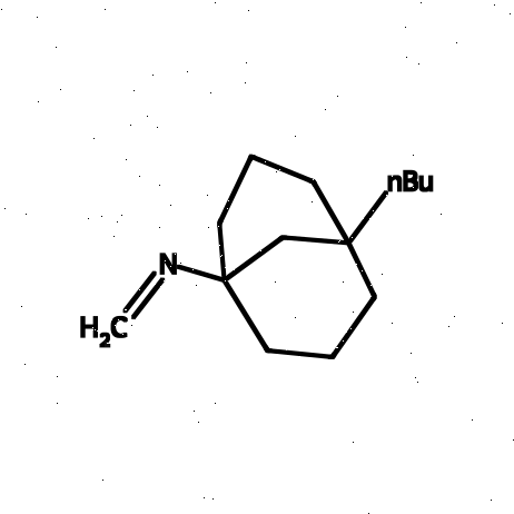 C=NC12CCCC(CCCC)(CCC1)C2